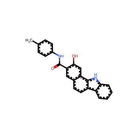 Cc1ccc(NC(=O)c2cc3ccc4c5ccccc5[nH]c4c3cc2O)cc1